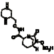 O=C(NOCC1CNCCN1)[C@@H]1CC[C@@H]2CN1C(=O)N2OS(=O)(=O)O